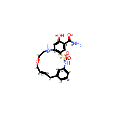 NC(=O)c1cc2c(cc1O)NCCOC/C=C/Cc1cccc(c1)NS2(=O)=O